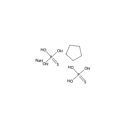 C1CCCC1.OP(O)(O)=S.OP(O)(O)=S.[NaH]